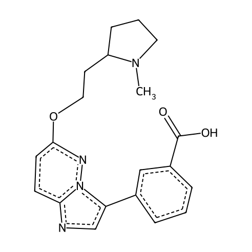 CN1CCCC1CCOc1ccc2ncc(-c3cccc(C(=O)O)c3)n2n1